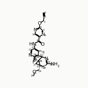 C#CCOc1cnc(C(=O)Nc2cnc(F)c([C@@]3(C)N=C(N)S[C@@]4(COC)C[C@H]43)c2)cn1